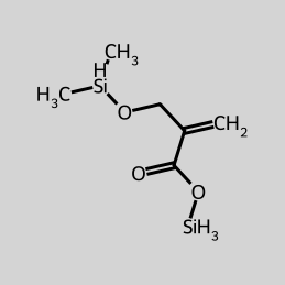 C=C(CO[SiH](C)C)C(=O)O[SiH3]